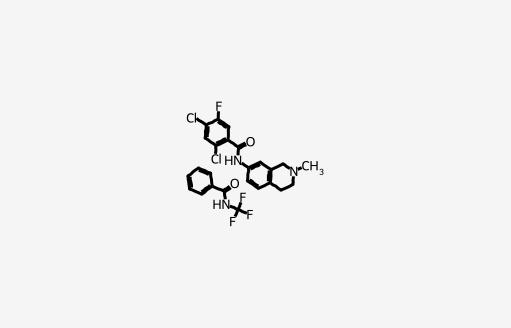 CN1CCc2ccc(NC(=O)c3cc(F)c(Cl)cc3Cl)cc2C1.O=C(NC(F)(F)F)c1ccccc1